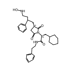 O=C(NCCc1ccccc1)[C@H](CC1CCCCC1)N1C(=O)C[C@@H](CC(CCNO)c2ccccc2)C1=O